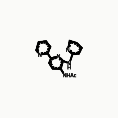 CC(=O)Nc1ccc(-c2ccccn2)nc1Nc1ccccn1